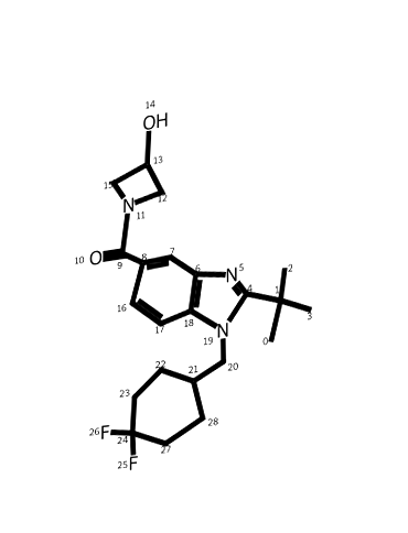 CC(C)(C)c1nc2cc(C(=O)N3CC(O)C3)ccc2n1CC1CCC(F)(F)CC1